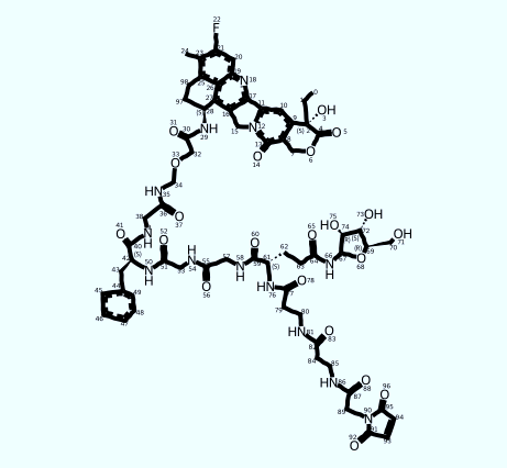 CC[C@@]1(O)C(=O)OCc2c1cc1n(c2=O)Cc2c-1nc1cc(F)c(C)c3c1c2[C@@H](NC(=O)COCNC(=O)CNC(=O)[C@H](Cc1ccccc1)NC(=O)CNC(=O)CNC(=O)[C@H](CCC(=O)NC1O[C@H](CO)[C@@H](O)[C@H]1O)NC(=O)CCNC(=O)CCNC(=O)CN1C(=O)C=CC1=O)CC3